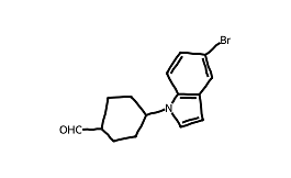 O=CC1CCC(n2ccc3cc(Br)ccc32)CC1